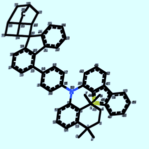 CC1(C)CCC(C)(C)c2c(N(c3ccc(-c4cccc5c4-c4ccccc4C54C5CC6CC7CC4C75C6)cc3)c3cccc4c3sc3ccccc34)cccc21